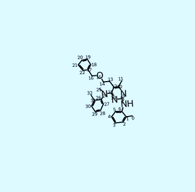 Cc1ccccc1Nc1nc(C)c(CCOCc2ccccc2)c(N(C)c2ccccc2C)n1